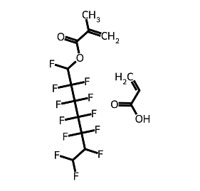 C=C(C)C(=O)OC(F)C(F)(F)C(F)(F)C(F)(F)C(F)(F)C(F)C(F)F.C=CC(=O)O